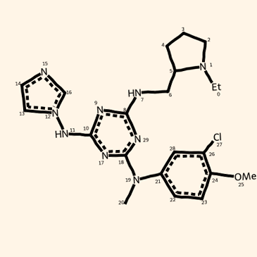 CCN1CCCC1CNc1nc(Nn2ccnc2)nc(N(C)c2ccc(OC)c(Cl)c2)n1